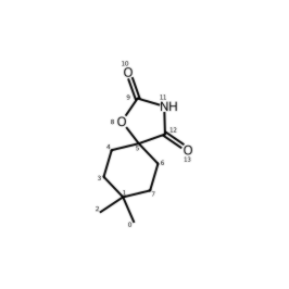 CC1(C)CCC2(CC1)OC(=O)NC2=O